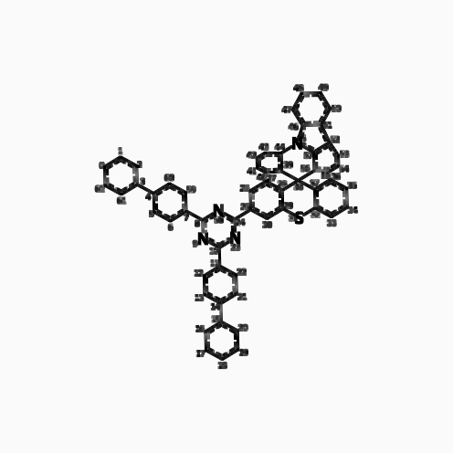 c1ccc(-c2ccc(-c3nc(-c4ccc(-c5ccccc5)cc4)nc(-c4ccc5c(c4)Sc4ccccc4C54c5ccccc5-n5c6ccccc6c6cccc4c65)n3)cc2)cc1